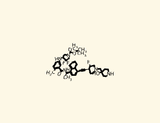 Cc1ccc(N[C@H]2CN(C(=O)OC(C)(C)C)CC2(F)F)cc1C(=O)N[C@H](C)c1ccc(C#C[C@@H]2CCN(CC3(O)CCNCC3)C[C@@H]2F)c2ccccc12